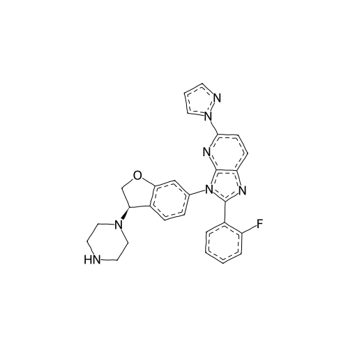 Fc1ccccc1-c1nc2ccc(-n3cccn3)nc2n1-c1ccc2c(c1)OC[C@@H]2N1CCNCC1